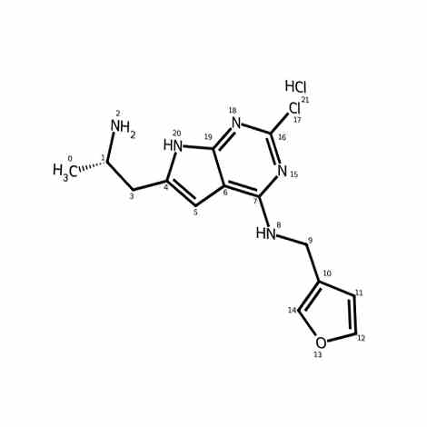 C[C@H](N)Cc1cc2c(NCc3ccoc3)nc(Cl)nc2[nH]1.Cl